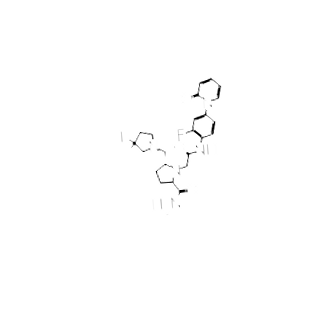 NC(=O)C1[CH]C[C@@H](CN2CCC(F)(F)C2)N1CC(=O)Nc1ccc(-n2ccccc2=O)cc1F